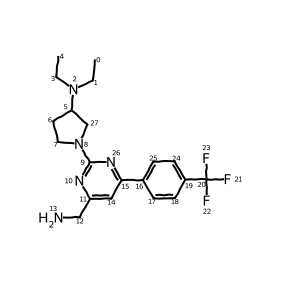 CCN(CC)C1CCN(c2nc(CN)cc(-c3ccc(C(F)(F)F)cc3)n2)C1